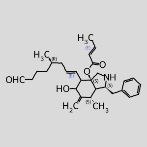 C=C1C(O)C(/C=C/C[C@H](C)CCCC=O)[C@]2(OC(=O)/C=C/C)CN[C@@H](Cc3ccccc3)C2[C@@H]1C